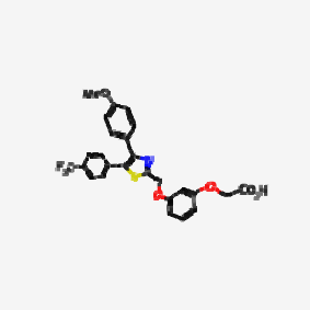 COc1ccc(-c2nc(COc3cccc(OCC(=O)O)c3)sc2-c2ccc(C(F)(F)F)cc2)cc1